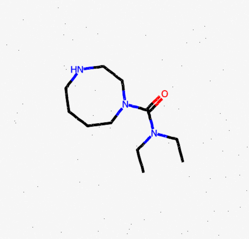 CCN(CC)C(=O)N1CCCCNCC1